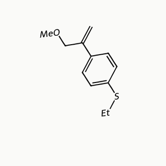 C=C(COC)c1ccc(SCC)cc1